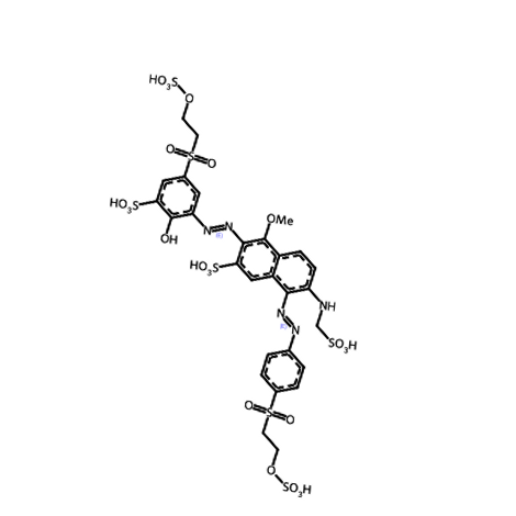 COc1c(/N=N/c2cc(S(=O)(=O)CCOS(=O)(=O)O)cc(S(=O)(=O)O)c2O)c(S(=O)(=O)O)cc2c(/N=N/c3ccc(S(=O)(=O)CCOS(=O)(=O)O)cc3)c(NCS(=O)(=O)O)ccc12